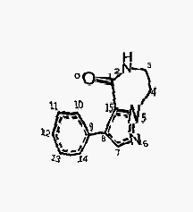 O=C1NCCn2ncc(-c3ccccc3)c21